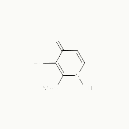 COc1c(O)c(=O)ccn1C